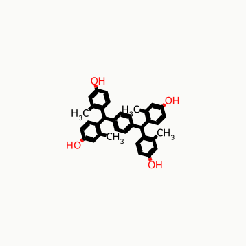 Cc1cc(O)ccc1C(c1ccc(C(c2ccc(O)cc2C)c2ccc(O)cc2C)cc1)c1ccc(O)cc1C